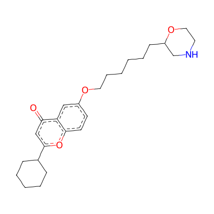 O=c1cc(C2CCCCC2)oc2ccc(OCCCCCCC3CNCCO3)cc12